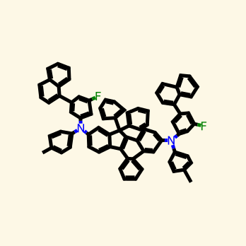 Cc1ccc(N(c2cc(F)cc(-c3cccc4ccccc34)c2)c2ccc3c(c2)C(c2ccccc2)(c2ccccc2)c2c-3c3ccccc3c3cc(N(c4ccc(C)cc4)c4cc(F)cc(-c5cccc6ccccc56)c4)ccc23)cc1